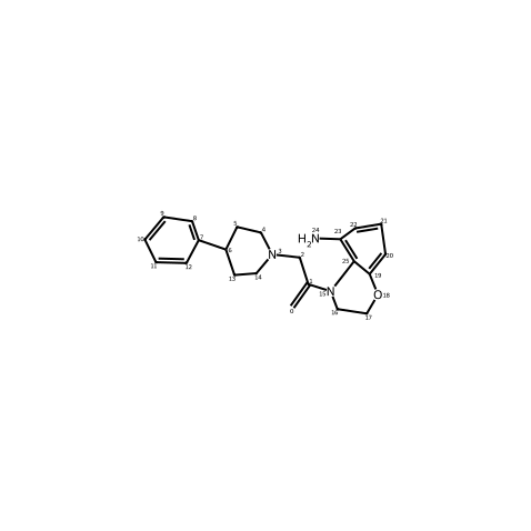 C=C(CN1CCC(c2ccccc2)CC1)N1CCOc2cccc(N)c21